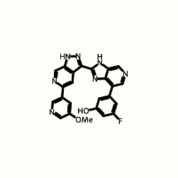 COc1cncc(-c2cc3c(-c4nc5c(-c6cc(O)cc(F)c6)cncc5[nH]4)n[nH]c3cn2)c1